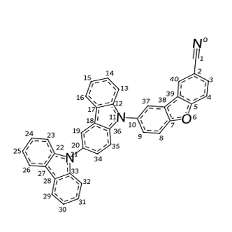 N#Cc1ccc2oc3ccc(-n4c5ccccc5c5cc(-n6c7ccccc7c7ccccc76)ccc54)cc3c2c1